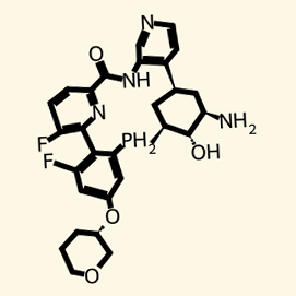 C[C@H]1C[C@@H](c2ccncc2NC(=O)c2ccc(F)c(-c3c(F)cc(O[C@H]4CCCOC4)cc3P)n2)C[C@@H](N)[C@@H]1O